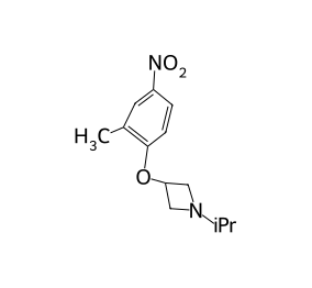 Cc1cc([N+](=O)[O-])ccc1OC1CN(C(C)C)C1